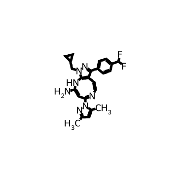 Cc1cc(C)n(-c2cc(N)[nH]c3c(ccn2)c(-c2ccc(C(F)F)cc2)nn3CC2CC2)n1